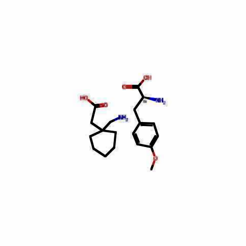 COc1ccc(C[C@H](N)C(=O)O)cc1.NCC1(CC(=O)O)CCCCC1